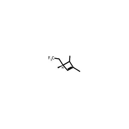 CC1=C[C@](C)(CC(F)(F)F)C1C